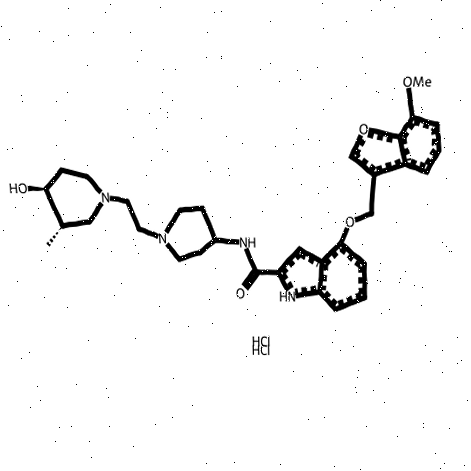 COc1cccc2c(COc3cccc4[nH]c(C(=O)NC5CCN(CCN6CC[C@H](O)[C@@H](C)C6)CC5)cc34)coc12.Cl.Cl